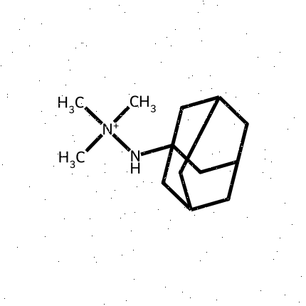 C[N+](C)(C)NC12CC3CC(CC(C3)C1)C2